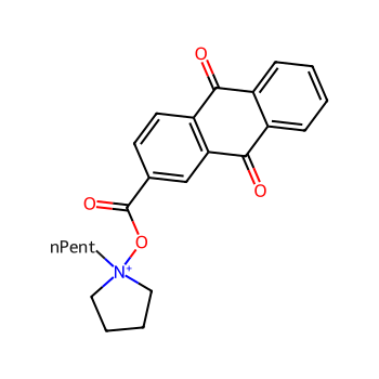 CCCCC[N+]1(OC(=O)c2ccc3c(c2)C(=O)c2ccccc2C3=O)CCCC1